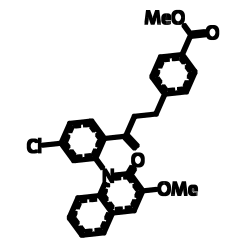 C=C(CCc1ccc(C(=O)OC)cc1)c1ccc(Cl)cc1-n1c(=O)c(OC)cc2ccccc21